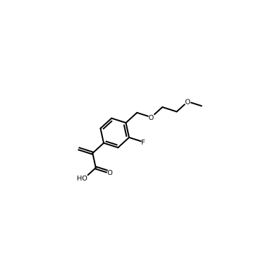 C=C(C(=O)O)c1ccc(COCCOC)c(F)c1